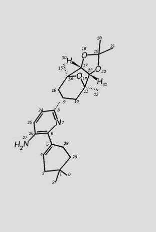 CC1(C)CC=C(c2nc([C@H]3C[C@@]4(C)O[C@@](C)(C3)[C@@H]3OC(C)(C)O[C@@H]34)ccc2N)CC1